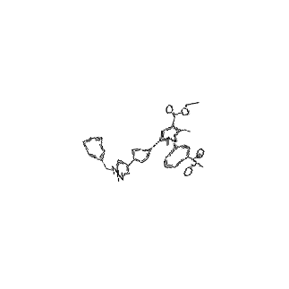 CCOC(=O)c1cc(-c2ccc(-c3cnn(Cc4ccccc4)c3)cc2)n(-c2cccc(S(C)(=O)=O)c2)c1C